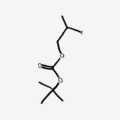 CC(I)COC(=O)OC(C)(C)C